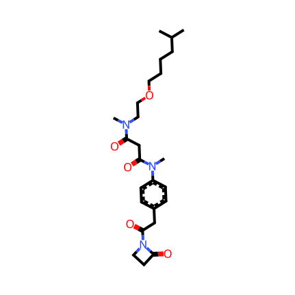 CC(C)CCCCOCCN(C)C(=O)CC(=O)N(C)c1ccc(CC(=O)N2CCC2=O)cc1